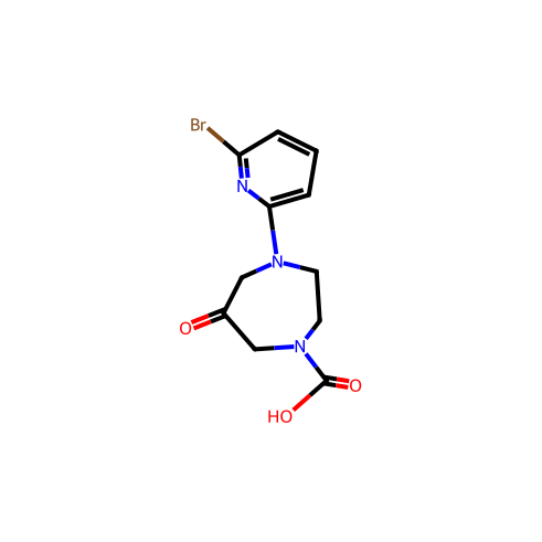 O=C1CN(C(=O)O)CCN(c2cccc(Br)n2)C1